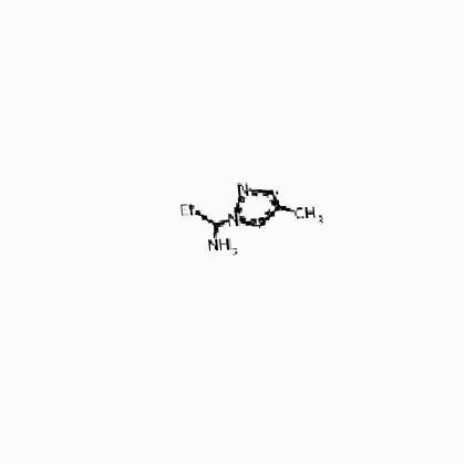 CCC(N)n1cc(C)[c]n1